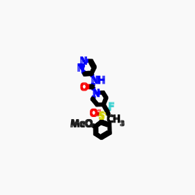 COc1ccccc1[S+]([O-])C(C)(F)C1CCN(C(=O)Nc2ccnnc2)CC1